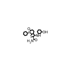 NC(=O)c1sc2c(ccc(=O)n2-c2ccccc2)c1Nc1cccc(O)c1